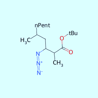 CCCCCC(C)CC(N=[N+]=[N-])C(C)C(=O)OC(C)(C)C